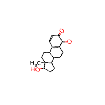 CC12CCC3C4=C(CCC3C1CCC2O)C(=O)C(=O)C=C4